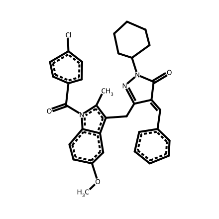 COc1ccc2c(c1)c(CC1=NN(C3CCCCC3)C(=O)C1=Cc1ccccc1)c(C)n2C(=O)c1ccc(Cl)cc1